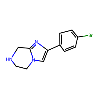 Brc1ccc(-c2cn3c(n2)CNCC3)cc1